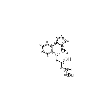 CC(C)(C)NCC(O)COc1ccccc1-c1nnsc1C(F)(F)F